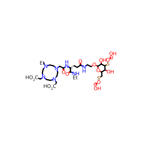 CCNC(=O)[C@@H](CCC(=O)NCCOC1OC(CSOOO)C(O)C(SOOO)C1O)NC(=O)CN1CCN(CC)CCN(CC(=O)O)CCN(CC(=O)O)CC1